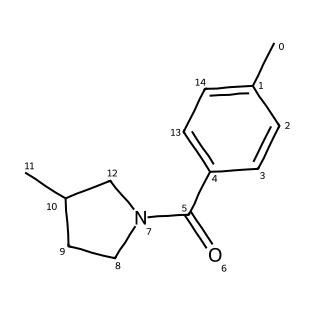 Cc1ccc(C(=O)N2CCC(C)C2)cc1